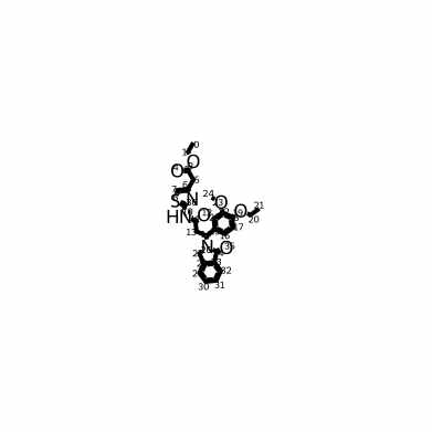 CCOC(=O)Cc1csc(NC(=O)CC(c2ccc(OCC)c(OC)c2)N2Cc3ccccc3C2=O)n1